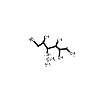 OCC(O)C(O)C(O)C(O)CO.[AlH3].[MgH2]